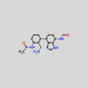 CC(=O)Nc1cccc(-c2ccc(NC=O)c3[nH]ccc23)c1CN